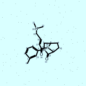 Cc1cccc(N2CC3CCC(C2=O)N3C(=O)/C=C/CN(C)C)c1